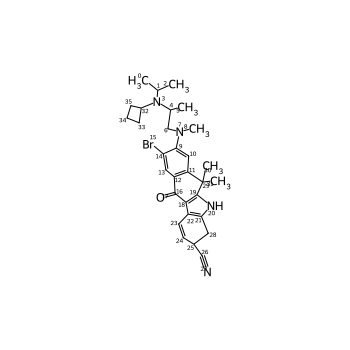 CC(C)N(C(C)CN(C)c1cc2c(cc1Br)C(=O)c1c([nH]c3c1C=CC(C#N)C3)C2(C)C)C1CCC1